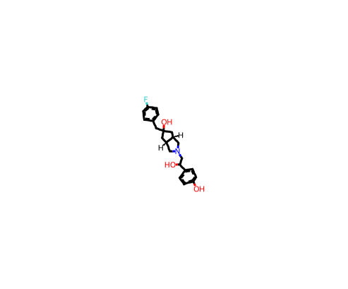 Oc1ccc(C(O)CN2C[C@@H]3CC(O)(Cc4ccc(F)cc4)C[C@@H]3C2)cc1